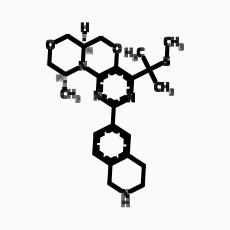 CSC(C)(C)c1nc(-c2ccc3c(c2)CCNC3)nc2c1OC[C@@H]1COC[C@@H](C)N21